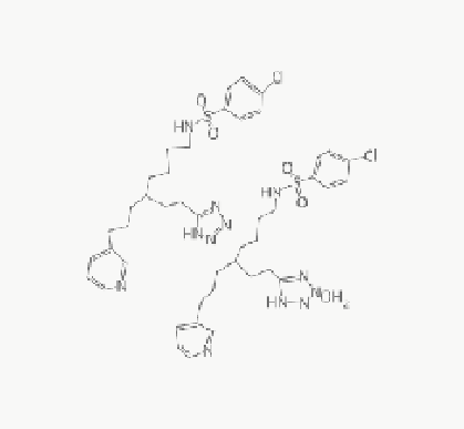 O.O=S(=O)(NCCCCC(CCCc1cccnc1)CCc1nnn[nH]1)c1ccc(Cl)cc1.O=S(=O)(NCCCCC(CCCc1cccnc1)CCc1nnn[nH]1)c1ccc(Cl)cc1